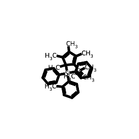 CC1=C(C)C(C)([Si](c2ccccc2)(c2ccccc2)c2ccccc2C)[C]([Ti]([CH3])([CH3])[CH3])=C1C